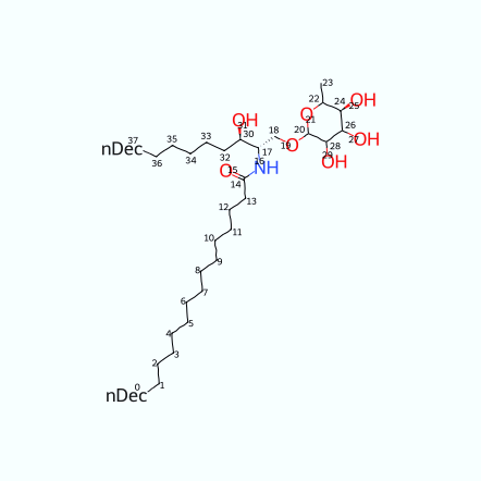 CCCCCCCCCCCCCCCCCCCCCCCC(=O)N[C@@H](COC1OC(C)[C@@H](O)C(O)C1O)[C@H](O)CCCCCCCCCCCCCCC